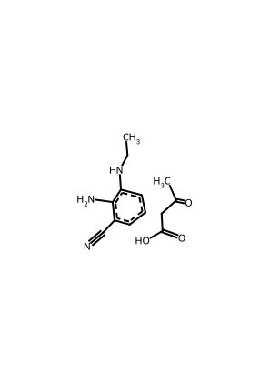 CC(=O)CC(=O)O.CCNc1cccc(C#N)c1N